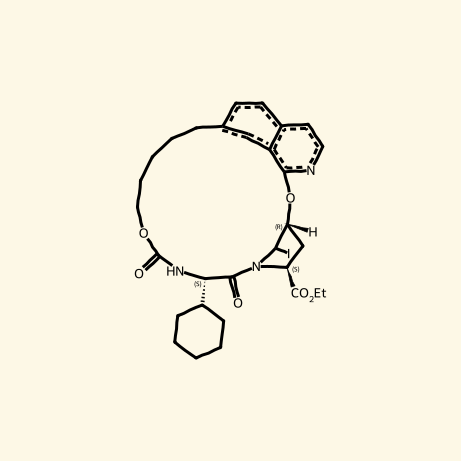 CCOC(=O)[C@@H]1C[C@H]2Oc3nccc4ccc(cc34)CCCCCOC(=O)N[C@@H](C3CCCCC3)C(=O)N1C2I